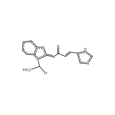 CCOC(=O)C(CC)n1c(=NC(=O)C=Cc2cnc[nH]2)sc2ccccc21